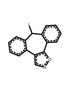 IC1c2ccccc2-c2cnoc2-c2ccccc21